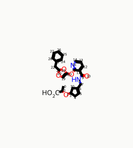 CC(OC1CC=C(CNC(=O)c2cccnc2OC2=COC(Cc3ccccc3)O2)C1)C(=O)O